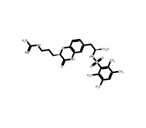 Cc1cc(C)c(C)c(S(=O)(=O)N[C@@H](Cc2ccc3c(c2)NC(=O)[C@@H](CCCNC(=N)N)O3)C(=O)O)c1C